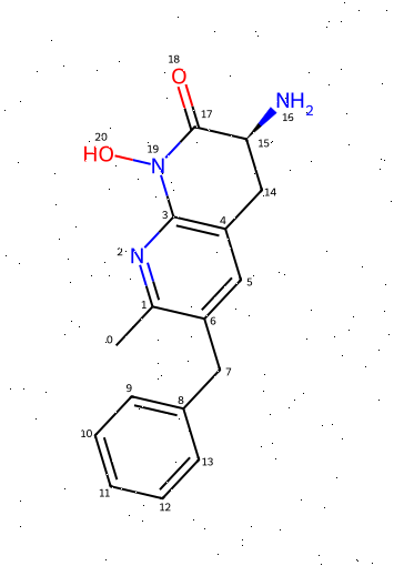 Cc1nc2c(cc1Cc1ccccc1)C[C@H](N)C(=O)N2O